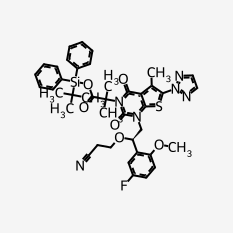 COc1ccc(F)cc1[C@H](Cn1c(=O)n(C(C)(C)C(=O)O[Si](c2ccccc2)(c2ccccc2)C(C)(C)C)c(=O)c2c(C)c(-n3nccn3)sc21)OCCC#N